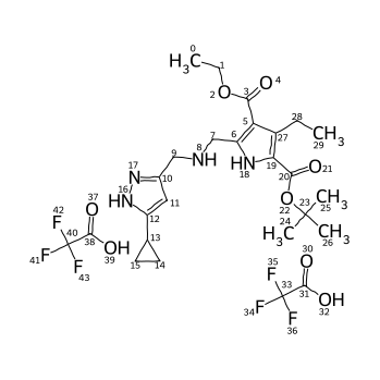 CCOC(=O)c1c(CNCc2cc(C3CC3)[nH]n2)[nH]c(C(=O)OC(C)(C)C)c1CC.O=C(O)C(F)(F)F.O=C(O)C(F)(F)F